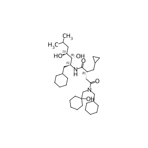 CC(C)C[C@H](O)[C@H](O)[C@H](CC1CCCCC1)NC(=O)[C@@H](CC(=O)N(CC1CCCCC1)CC1(O)CCCCC1)CC1CC1